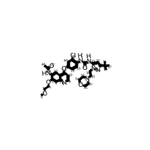 COCCOc1cc2nccc(Oc3ccc(NC(=O)Nc4cc(C(C)(C)C)nn4CCN4CCOCC4)c(Cl)c3)c2cc1NC(C)=O